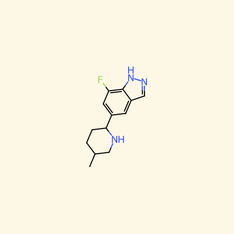 CC1CCC(c2cc(F)c3[nH]ncc3c2)NC1